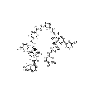 CCc1cccc(-c2cnc(C(=O)NCCc3cn(CCC(=O)N4CCN(CC[C@H](NC(=O)C5(N)CCN(c6ncnc7[nH]ccc67)CC5)c5ccc(Cl)cc5)CC4)nn3)c(NC(=O)CNCC3CCN(C)C(=O)C3)c2)c1